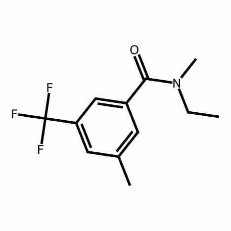 CCN(C)C(=O)c1cc(C)cc(C(F)(F)F)c1